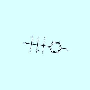 Cc1ccc(C(F)(F)C(O)(F)C(F)(F)F)cc1